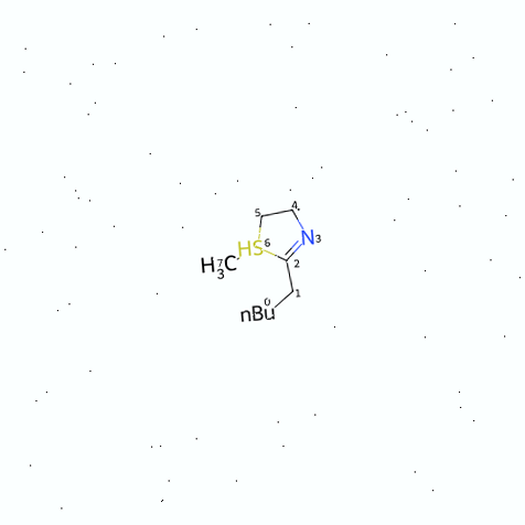 CCCCCC1=N[CH]C[SH]1C